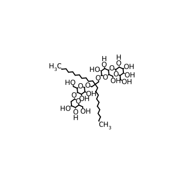 CCCCCCCCCCCC(CCCCCCCCCCC)(COC1OC(CO)[C@H](OC2OC(CO)[C@H](O)C(O)[C@H]2O)C(O)[C@H]1O)CO[C@H]1OC(CO)[C@H](O[C@H]2CC(O)[C@@H](O)C(CO)O2)C(O)C1O